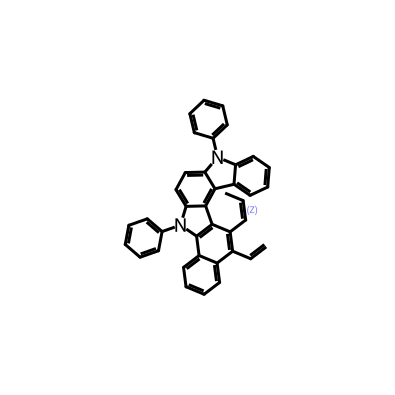 C=Cc1c(/C=C\C)c2c3c4c5ccccc5n(-c5ccccc5)c4ccc3n(-c3ccccc3)c2c2ccccc12